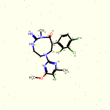 COc1nc(N2CCNC(=N)N(C)C(=O)[C@@H](c3ccc(F)c(Cl)c3F)C2)nc(C)c1F